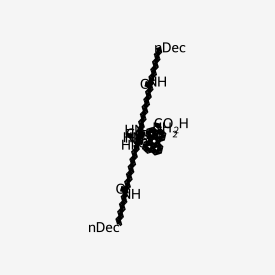 CCCCCCCCCCCCCCCCCCNC(=O)CCCCCCCCCCCNC(=O)NC(=O)NCCCCCCCCCCCC(=O)NCCCCCCCCCCCCCCCCCC.NC(=O)O.NC(=O)O.c1cc2cccc3c4cccc5cccc(c(c1)c23)c54